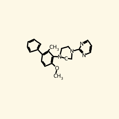 COc1ccc(-c2ccccc2)c(C)c1N1CCN(c2ncccn2)CC1